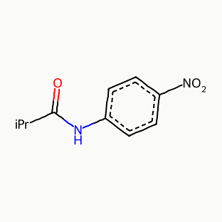 CC(C)C(=O)Nc1ccc([N+](=O)[O-])cc1